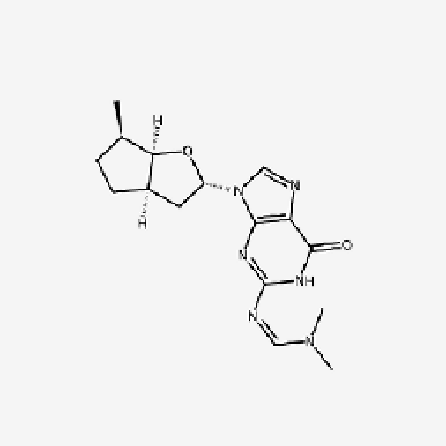 C[C@@H]1CC[C@@H]2C[C@@H](n3cnc4c(=O)[nH]c(/N=C\N(C)C)nc43)O[C@@H]21